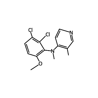 COc1ccc(Cl)c(Cl)c1N(C)c1ccncc1C